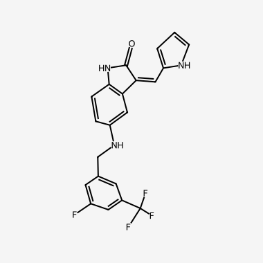 O=C1Nc2ccc(NCc3cc(F)cc(C(F)(F)F)c3)cc2C1=Cc1ccc[nH]1